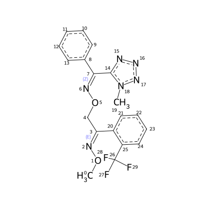 CO/N=C(/CO/N=C(/c1ccccc1)c1nnnn1C)c1ccccc1C(F)(F)F